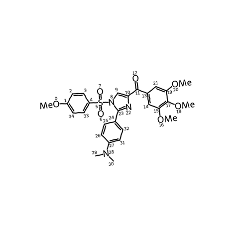 COc1ccc(S(=O)(=O)n2cc(C(=O)c3cc(OC)c(OC)c(OC)c3)nc2-c2ccc(N(C)C)cc2)cc1